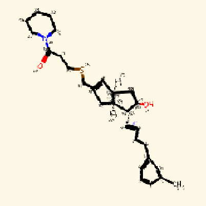 Cc1cccc(CC/C=C/[C@@H]2[C@H]3CC(CSCCC(=O)N4CCCCC4)=C[C@H]3C[C@H]2O)c1